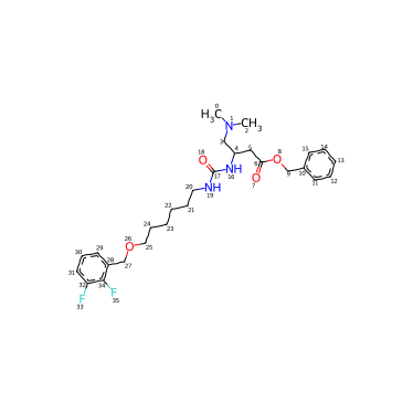 CN(C)CC(CC(=O)OCc1ccccc1)NC(=O)NCCCCCCOCc1cccc(F)c1F